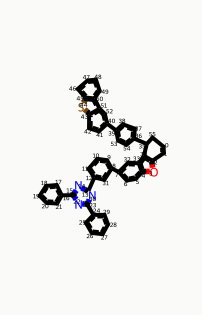 C1=Cc2oc3ccc(-c4cccc(-c5nc(-c6ccccc6)nc(-c6ccccc6)n5)c4)cc3c2C(c2ccc(-c3ccc4sc5ccccc5c4c3)cc2)C1